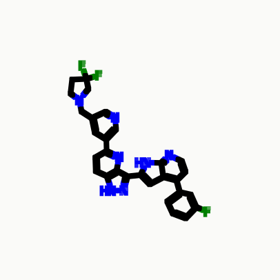 Fc1cccc(-c2ccnc3[nH]c(-c4n[nH]c5ccc(-c6cncc(CN7CCC(F)(F)C7)c6)nc45)cc23)c1